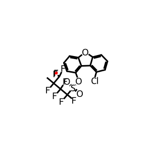 CC(F)(C(F)(F)F)C(F)(F)C(F)(F)S(=O)(=O)Oc1cccc2oc3cccc(Cl)c3c12